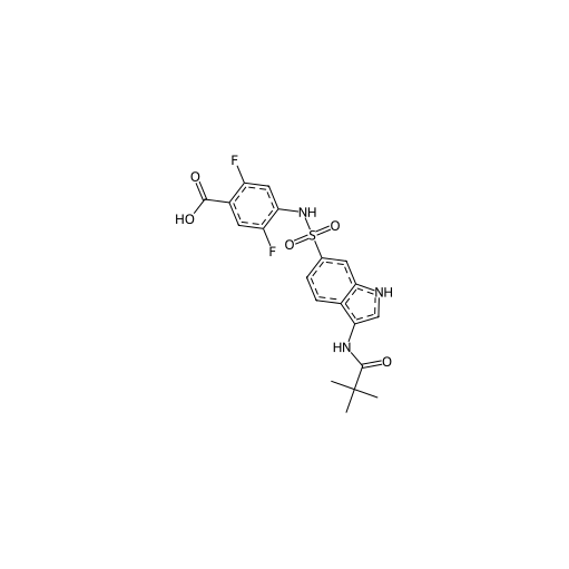 CC(C)(C)C(=O)Nc1c[nH]c2cc(S(=O)(=O)Nc3cc(F)c(C(=O)O)cc3F)ccc12